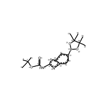 CC(C)(C)OC(=O)Nc1nc2ccc(B3OC(C)(C)C(C)(C)O3)cc2s1